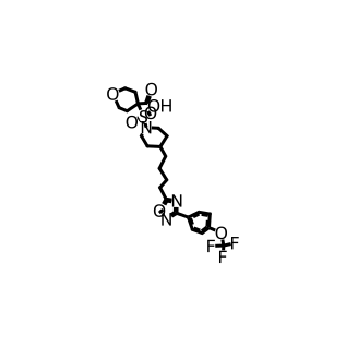 O=C(O)C1(S(=O)(=O)N2CCC(CCCCc3nc(-c4ccc(OC(F)(F)F)cc4)no3)CC2)CCOCC1